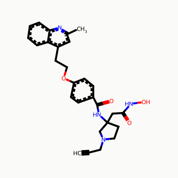 C#CCN1CCC(CC(=O)NO)(NC(=O)c2ccc(OCCc3cc(C)nc4ccccc34)cc2)C1